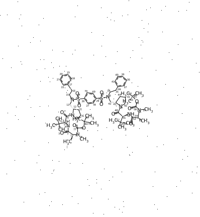 C[C@@H](C(=O)N[C@H](C(=O)N1CCC[C@H]1CN(CCc1ccccc1)S(=O)(=O)c1ccc(S(=O)(=O)N(CCc2ccccc2)C[C@@H]2CCCN2C(=O)[C@@H](NC(=O)[C@H](C)N(C)C(=O)OC(C)(C)C)C(C)(C)C)cc1)C(C)(C)C)N(C)C(=O)OC(C)(C)C